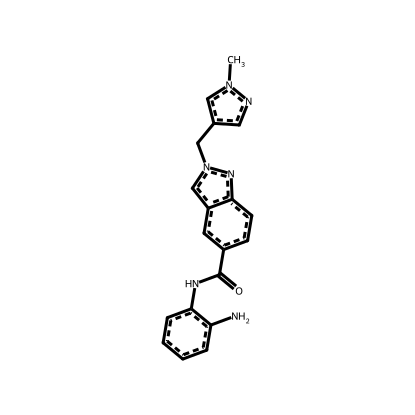 Cn1cc(Cn2cc3cc(C(=O)Nc4ccccc4N)ccc3n2)cn1